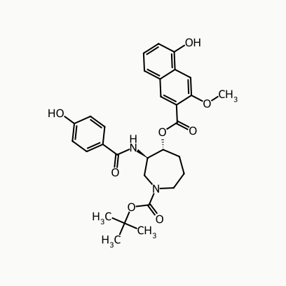 COc1cc2c(O)cccc2cc1C(=O)O[C@@H]1CCCN(C(=O)OC(C)(C)C)C[C@H]1NC(=O)c1ccc(O)cc1